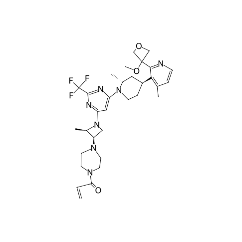 C=CC(=O)N1CCN([C@@H]2CN(c3cc(N4CC[C@H](c5c(C)ccnc5C5(OC)COC5)C[C@H]4C)nc(C(F)(F)F)n3)[C@@H]2C)CC1